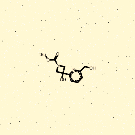 CC(C)(C)OC(=O)N1CC(O)(c2cccc(CO)n2)C1